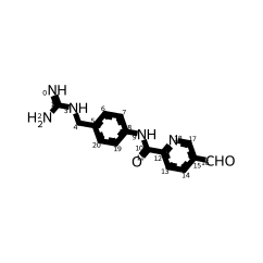 N=C(N)NCc1ccc(NC(=O)c2ccc(C=O)cn2)cc1